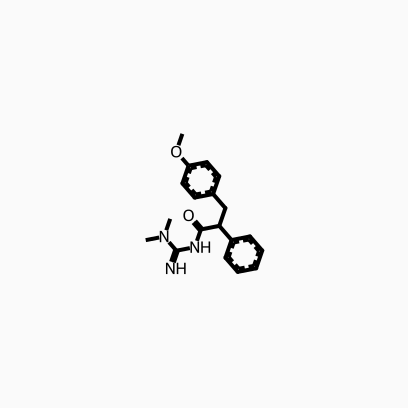 COc1ccc(CC(C(=O)NC(=N)N(C)C)c2ccccc2)cc1